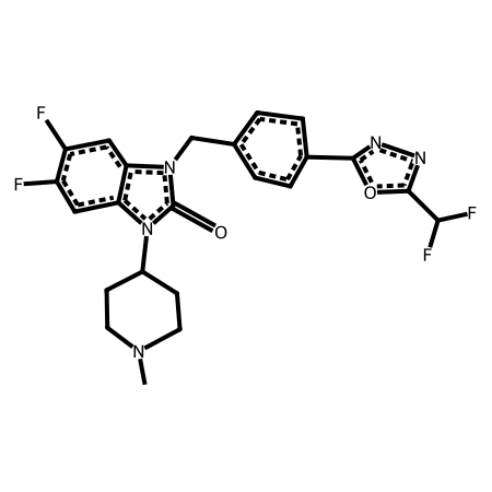 CN1CCC(n2c(=O)n(Cc3ccc(-c4nnc(C(F)F)o4)cc3)c3cc(F)c(F)cc32)CC1